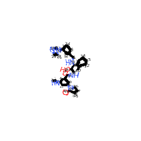 CCNc1cc(C(=O)N[C@@H](Cc2ccccc2)[C@H](O)CNCc2cccc(-n3ccnc3)c2)cc(N2CCCC2=O)c1